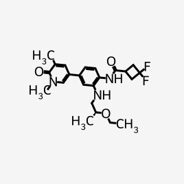 CCO[C@@H](C)CNc1cc(-c2cc(C)c(=O)n(C)c2)ccc1NC(=O)C1CC(F)(F)C1